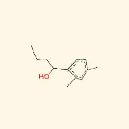 CCCC(O)c1ccc(C)cc1C